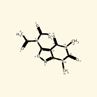 CC(=O)N(C(C)=O)c1onc2c1c(=O)n(C)c(=O)n2C